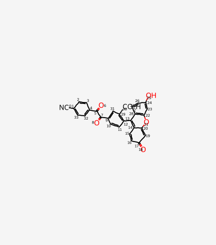 N#Cc1ccc(C(=O)C(=O)c2ccc(-c3c4ccc(=O)cc-4oc4cc(O)ccc34)c(C(=O)O)c2)cc1